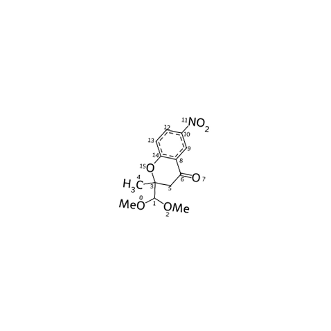 COC(OC)C1(C)CC(=O)c2cc([N+](=O)[O-])ccc2O1